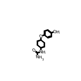 NC(=O)NC1CCC(Oc2ccc(O)cc2)CC1